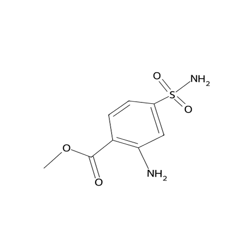 COC(=O)c1ccc(S(N)(=O)=O)cc1N